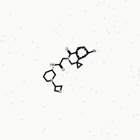 O=C(CN1CC2(CC2)c2cc(Br)ccc2C1=O)N[C@H]1CCCN(C2COC2)C1